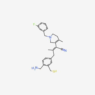 CC1=C(/C(C#N)=C(\C)Cc2ccc(CN)c(CS)c2)CN(Cc2cccc(F)c2)CC1